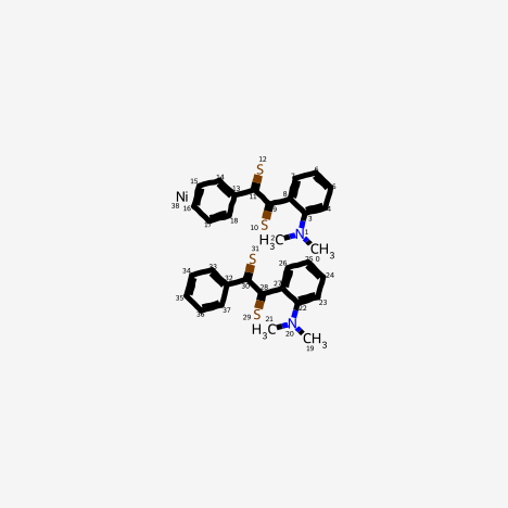 CN(C)c1ccccc1C(=S)C(=S)c1ccccc1.CN(C)c1ccccc1C(=S)C(=S)c1ccccc1.[Ni]